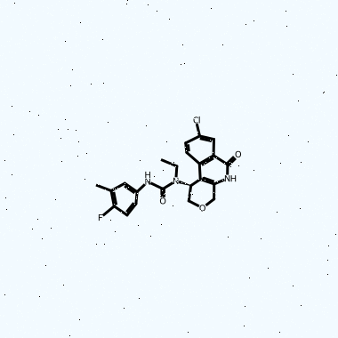 CCN(C(=O)Nc1ccc(F)c(C)c1)[C@@H]1COCc2[nH]c(=O)c3cc(Cl)ccc3c21